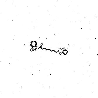 O=C(CCCCCCCC(=O)Oc1ccccc1O)Oc1ccccc1O